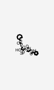 C[Si](C)(C)OC1[C@H](n2ccc(NC(=O)c3ccccc3)nc2=O)O[C@H](COC(=O)OC2/C=C/CCCCC2)[C@H]1O